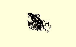 Cc1cc(/C=C/C(=O)c2cc3ccccc3nc2N2CCC(O)CC2)cc(C)c1OC(C)(C)C(=O)OC(C)(C)C